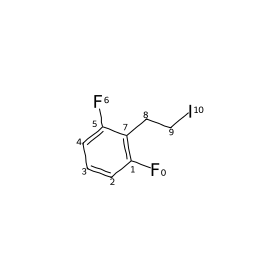 Fc1cccc(F)c1CCI